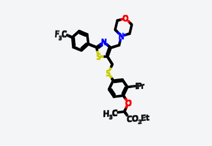 CCOC(=O)C(C)Oc1ccc(SCc2sc(-c3ccc(C(F)(F)F)cc3)nc2CN2CCOCC2)cc1C(C)C